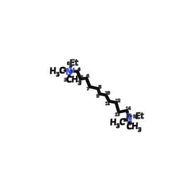 CC[N+](C)(C)CCCCCCCCCCC[N+](C)(C)CC